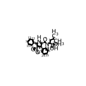 CC(C)CC(NC(=O)[C@@H]1N[C@H](c2ccccc2)[C@H]([N+](=O)[O-])[C@H]1c1ccccc1)B(O)O